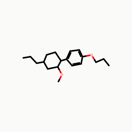 CCCOc1ccc(C2CCC(CCC)CC2OC)cc1